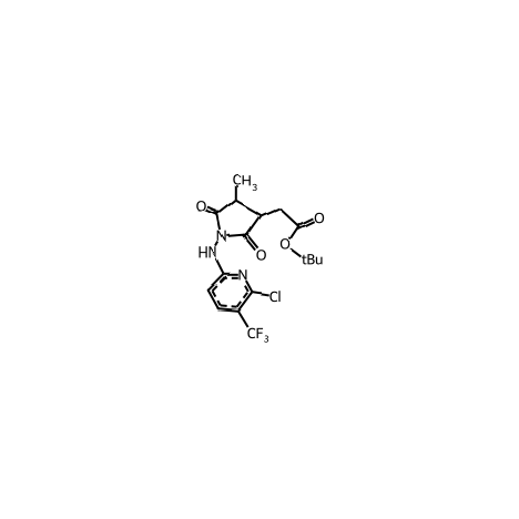 CC1C(=O)N(Nc2ccc(C(F)(F)F)c(Cl)n2)C(=O)C1CC(=O)OC(C)(C)C